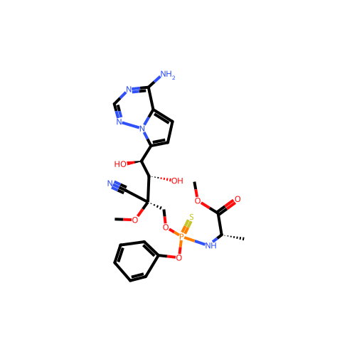 COC(=O)[C@H](C)NP(=S)(OC[C@@](C#N)(OC)[C@@H](O)[C@@H](O)c1ccc2c(N)ncnn12)Oc1ccccc1